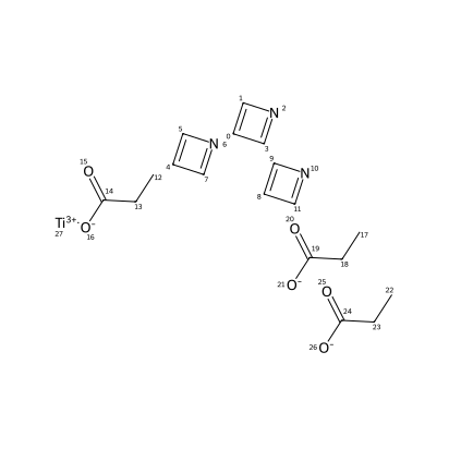 C1=CN=C1.C1=CN=C1.C1=CN=C1.CCC(=O)[O-].CCC(=O)[O-].CCC(=O)[O-].[Ti+3]